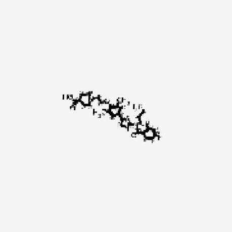 CCCCN(C(=O)c1ccc(F)cc1Cl)c1nnc(-c2cc(C)c(OCCN3CCC(C(=O)O)CC3)c(C)c2)s1